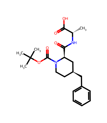 C[C@H](NC(=O)[C@H]1C[C@@H](Cc2ccccc2)CCN1C(=O)OC(C)(C)C)C(=O)O